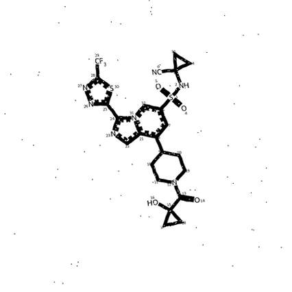 N#CC1(NS(=O)(=O)c2cc(C3CCN(C(=O)C4(O)CC4)CC3)c3cnc(-c4nnc(C(F)(F)F)s4)n3c2)CC1